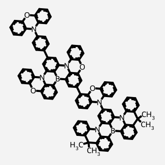 CC1(C)c2ccccc2N2c3cc(N4c5ccccc5Oc5c(-c6cc7c8c(c6)B6c9cccc%10c9N(c9ccccc9O%10)c9cc(-c%10ccc(N%11c%12ccccc%12Oc%12ccccc%12%11)cc%10)cc(c96)N8c6ccccc6O7)cccc54)cc4c3B(c3cccc1c32)c1cccc2c1N4c1ccccc1C2(C)C